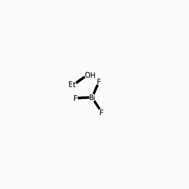 CCO.[F][Bi]([F])[F]